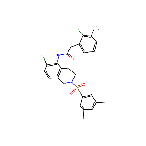 Cc1cc(C)cc(S(=O)(=O)N2CCc3c(ccc(Cl)c3NC(=O)Cc3cccc(C(F)(F)F)c3F)C2)c1